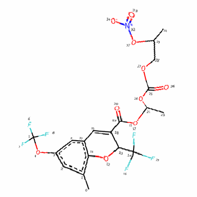 Cc1cc(OC(F)(F)F)cc2c1OC(C(F)(F)F)C(C(=O)OC(C)OC(=O)OCC(C)O[N+](=O)[O-])=C2